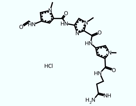 Cl.Cn1cc(NC(=O)c2nc(NC(=O)c3cc(NC=O)cn3C)cn2C)cc1C(=O)NCCC(=N)N